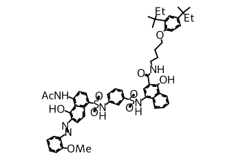 CCC(C)(C)c1ccc(OCCCCNC(=O)c2cc(NS(=O)(=O)c3cccc(NS(=O)(=O)c4ccc(NC(C)=O)c5c(O)c(N=Nc6ccccc6OC)ccc45)c3)c3ccccc3c2O)c(C(C)(C)CC)c1